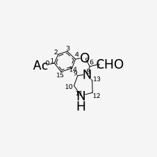 CC(=O)c1ccc(OC(C=O)N2CCNCC2)cc1